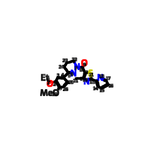 CCOc1cc(C2=NN(C(=O)c3sc(-c4ccccn4)nc3C)CCC2)ccc1OC